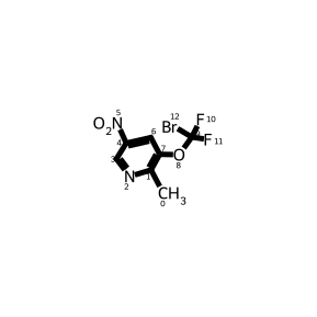 Cc1ncc([N+](=O)[O-])cc1OC(F)(F)Br